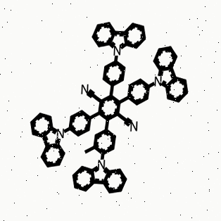 Cc1cc(-c2c(C#N)c(-c3ccc(-n4c5ccccc5c5ccccc54)cc3)c(-c3ccc(-n4c5ccccc5c5ccccc54)cc3)c(C#N)c2-c2ccc(-n3c4ccccc4c4ccccc43)cc2)ccc1-n1c2ccccc2c2ccccc21